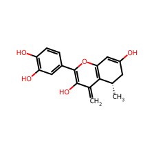 C=C1C(O)=C(c2ccc(O)c(O)c2)OC2=C1[C@@H](C)CC(O)=C2